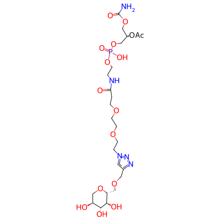 CC(=O)O[C@H](COC(N)=O)COP(=O)(O)OCCNC(=O)CCOCCOCCn1cc(COC[C@H]2OC[C@H](O)[C@@H](O)[C@@H]2O)nn1